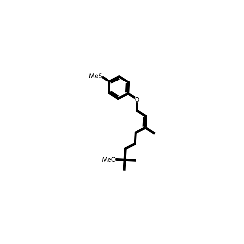 COC(C)(C)CCCC(C)=CCOc1ccc(SC)cc1